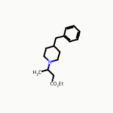 CCOC(=O)CC(C)N1CCC(Cc2ccccc2)CC1